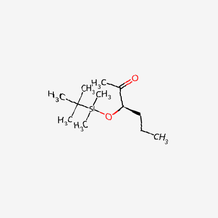 CCC[C@@H](O[Si](C)(C)C(C)(C)C)C(C)=O